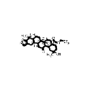 CC1(C)CC[C@]2(C(=O)OCC(F)(F)F)CC[C@]3(C)C(C(=O)CC4[C@@]5(C)Cc6cnoc6C(C)(C)C5CC[C@]43C)C2C1